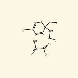 CCNC1(CC)C=CC(N)=CC1.O=C(O)C(=O)O